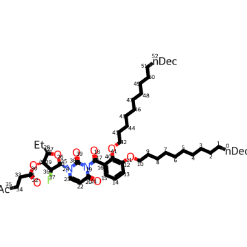 CCCCCCCCCCCCCCCCCCCCOc1cccc(C(=O)n2c(=O)ccn([C@@H]3O[C@H](CC)[C@H](OC(=O)CCC(C)=O)C3F)c2=O)c1OCCCCCCCCCCCCCCCCCCCC